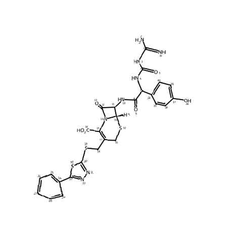 N=C(N)NC(=O)NC(C(=O)NC1C(=O)N2C(C(=O)O)=C(CSc3nnc(-c4ccccc4)s3)CS[C@@H]12)c1ccc(O)cc1